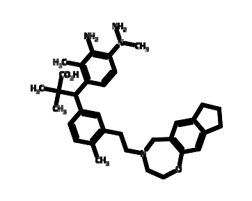 Cc1ccc(C(c2ccc(N(C)N)c(N)c2C)C(C)(C)C(=O)O)cc1CCN1CCOc2cc3c(cc2C1)CCC3